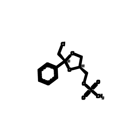 CS(=O)(=O)OC[C@@H]1CO[C@@](CCl)(c2ccccc2)O1